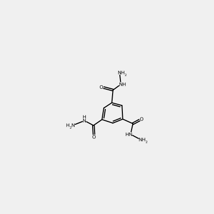 NNC(=O)c1cc(C(=O)NN)cc(C(=O)NN)c1